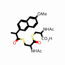 COc1ccc2cc(C(C)C(=O)SCC(NC(C)=O)C(=O)SCC(NC(C)=O)C(=O)O)ccc2c1